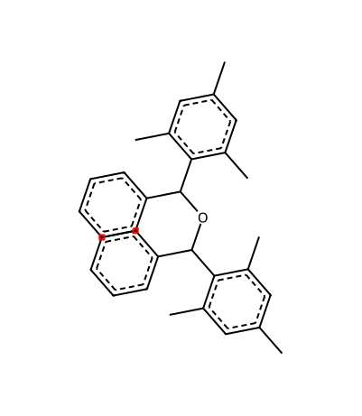 Cc1cc(C)c(C(OC(c2ccccc2)c2c(C)cc(C)cc2C)c2ccccc2)c(C)c1